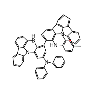 Cc1ccc(Nc2c(-c3cc(N(c4ccccc4)c4ccccc4)cc4c3Bc3cccc5c6ccccc6n-4c35)ccc3c4cccc5c6ccccc6n(c23)c54)c(C)c1